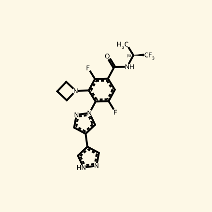 C[C@H](NC(=O)c1cc(F)c(-n2cc(-c3cn[nH]c3)cn2)c(N2CCC2)c1F)C(F)(F)F